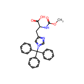 COC(=O)NC(Cc1cn(C(c2ccccc2)(c2ccccc2)c2ccccc2)cn1)C(=O)O